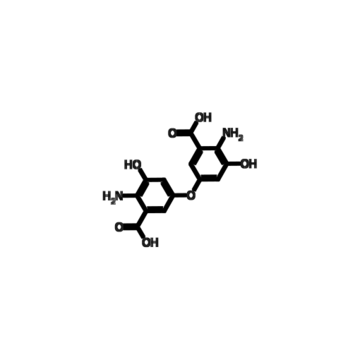 Nc1c(O)cc(Oc2cc(O)c(N)c(C(=O)O)c2)cc1C(=O)O